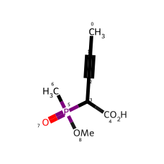 CC#CC(C(=O)O)P(C)(=O)OC